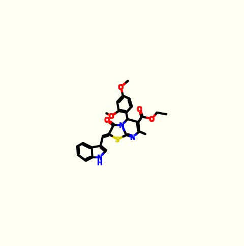 CCOC(=O)C1=C(C)N=c2s/c(=C\c3c[nH]c4ccccc34)c(=O)n2C1c1ccc(OC)cc1OC